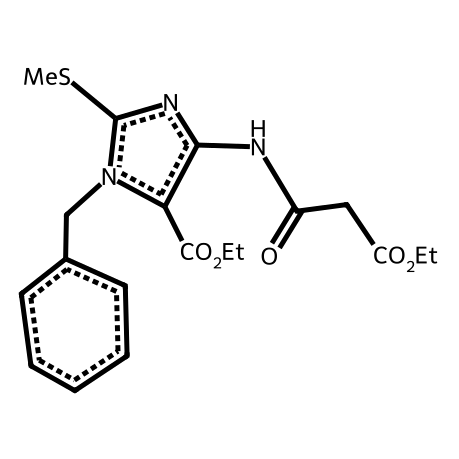 CCOC(=O)CC(=O)Nc1nc(SC)n(Cc2ccccc2)c1C(=O)OCC